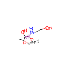 CCCCCOC(C)C(O)[PH](=O)NCCO